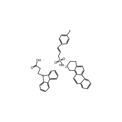 O=C(O)CCn1c2ccccc2c2ccccc21.O=S(=O)(CC=Cc1ccc(F)cc1)N[C@@H]1CCc2ccc3c(ccc4ccccc43)c2C1